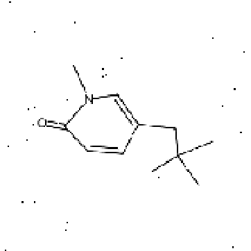 Cn1cc(CC(C)(C)C)ccc1=O